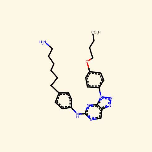 NCCCCCCc1ccc(Nc2ncc3nnn(-c4ccc(OCCCC(=O)O)cc4)c3n2)cc1